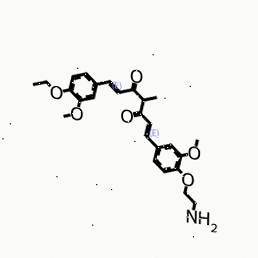 CCOc1ccc(/C=C/C(=O)C(C)C(=O)/C=C/c2ccc(OCCN)c(OC)c2)cc1OC